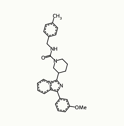 COc1cccc(-c2nc(C3CCCN(C(=O)NCc4ccc(C)cc4)C3)n3ccccc23)c1